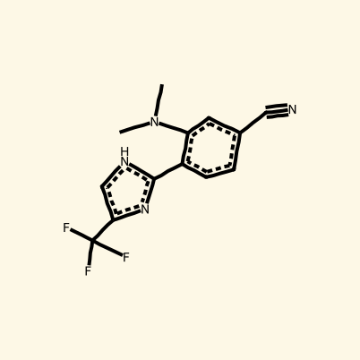 CN(C)c1cc(C#N)ccc1-c1nc(C(F)(F)F)c[nH]1